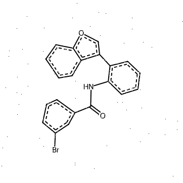 O=C(Nc1ccccc1-c1coc2ccccc12)c1cccc(Br)c1